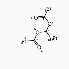 CCCC(OC(=O)CC)OC(=O)C(C)C